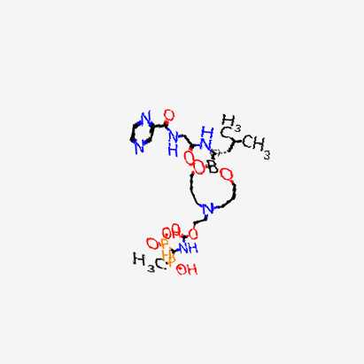 CC(C)C[C@@H](NC(=O)CNC(=O)c1cnccn1)B1OCCCN(CCOC(=O)NC(P(C)O)[PH](=O)O)CCCO1